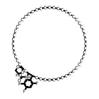 O=C(O)NC1CC2(CCCCCCCCCCCCCCCCCCCCCCCCCCCCCCCCCCCCCCCCCCCCCCCCC1c1cc(F)c(F)cc1F)OCCO2